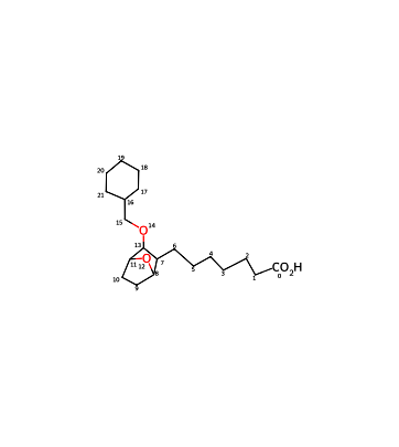 O=C(O)CCCCCCC1C2CCC(O2)C1OCC1CCCCC1